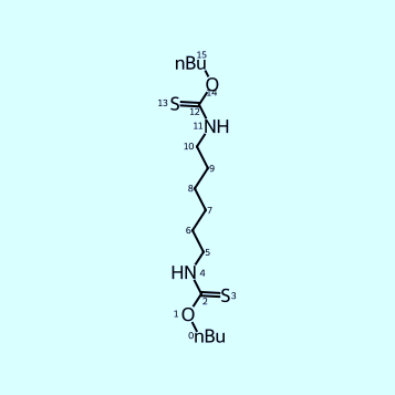 CCCCOC(=S)NCCCCCCNC(=S)OCCCC